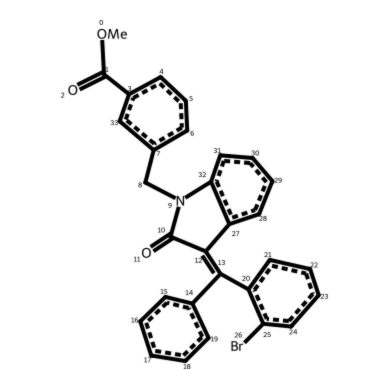 COC(=O)c1cccc(CN2C(=O)/C(=C(\c3ccccc3)c3ccccc3Br)c3ccccc32)c1